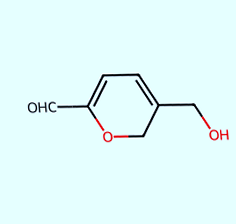 O=CC1=CC=C(CO)CO1